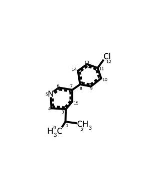 CC(C)c1cncc(-c2ccc(Cl)cc2)c1